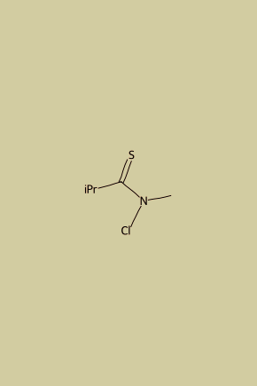 CC(C)C(=S)N(C)Cl